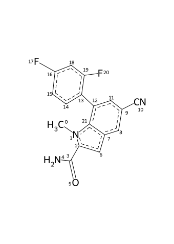 Cn1c(C(N)=O)cc2cc(C#N)cc(-c3ccc(F)cc3F)c21